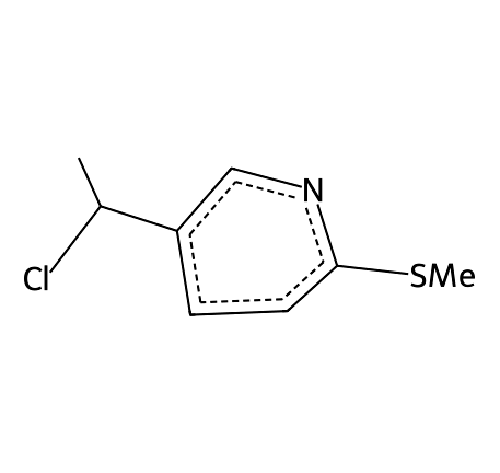 CSc1ccc(C(C)Cl)cn1